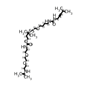 CC(C)C#CCNC(=O)NCCCCOCSSC(C)(C)CCOC(=O)NCCOCCOCCNC(C)C